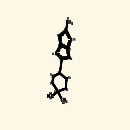 Cc1cc2sc(C3OCC(C)(C)CO3)cc2s1